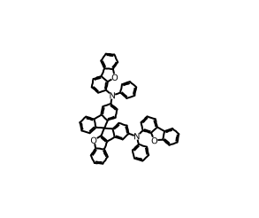 c1ccc(N(c2ccc3c(c2)-c2ccccc2C32c3ccc(N(c4ccccc4)c4cccc5c4oc4ccccc45)cc3-c3c2oc2ccccc32)c2cccc3c2oc2ccccc23)cc1